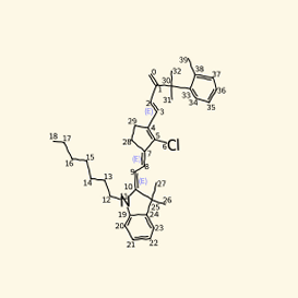 C=C(/C=C/C1=C(Cl)C(=C/C=C2/N(CCCCCCC)c3ccccc3C2(C)C)/CC1)C(C)(C)c1ccccc1C